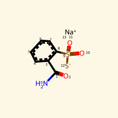 NC(=O)c1ccccc1S(=O)(=O)[S-].[Na+]